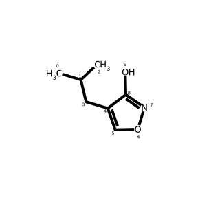 CC(C)Cc1conc1O